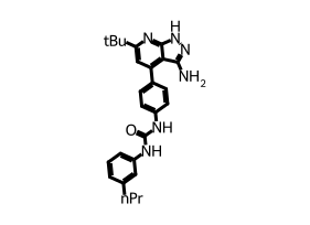 CCCc1cccc(NC(=O)Nc2ccc(-c3cc(C(C)(C)C)nc4[nH]nc(N)c34)cc2)c1